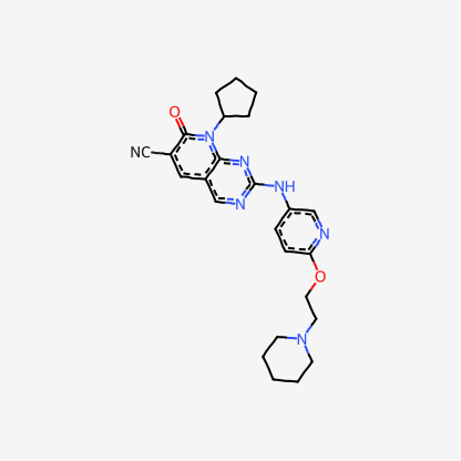 N#Cc1cc2cnc(Nc3ccc(OCCN4CCCCC4)nc3)nc2n(C2CCCC2)c1=O